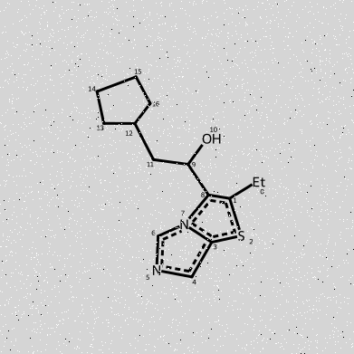 CCc1sc2cncn2c1C(O)CC1CCCC1